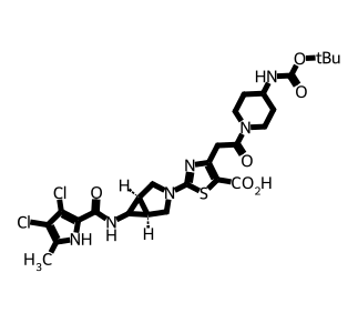 Cc1[nH]c(C(=O)NC2[C@H]3CN(c4nc(CC(=O)N5CCC(NC(=O)OC(C)(C)C)CC5)c(C(=O)O)s4)C[C@@H]23)c(Cl)c1Cl